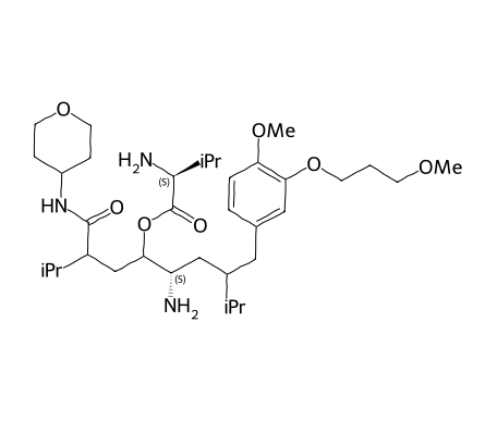 COCCCOc1cc(CC(C[C@H](N)C(CC(C(=O)NC2CCOCC2)C(C)C)OC(=O)[C@@H](N)C(C)C)C(C)C)ccc1OC